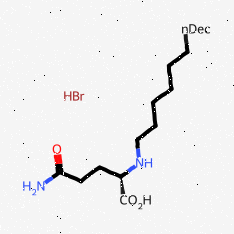 Br.CCCCCCCCCCCCCCCCN[C@H](CCC(N)=O)C(=O)O